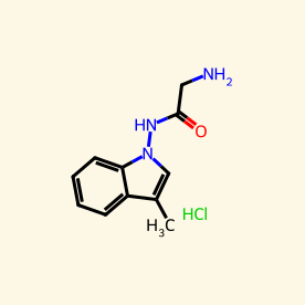 Cc1cn(NC(=O)CN)c2ccccc12.Cl